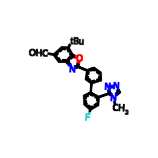 Cn1cnnc1-c1cc(F)ccc1-c1cccc(-c2nc3cc(C=O)cc(C(C)(C)C)c3o2)c1